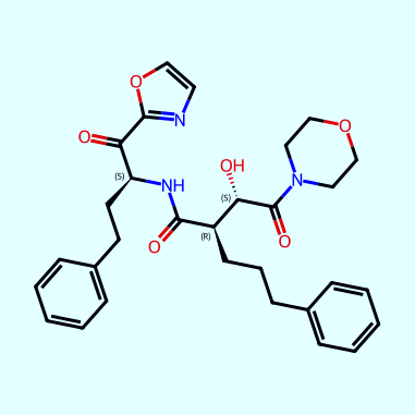 O=C(c1ncco1)[C@H](CCc1ccccc1)NC(=O)[C@H](CCCc1ccccc1)[C@H](O)C(=O)N1CCOCC1